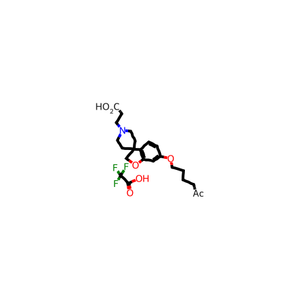 CC(=O)CCCCOc1ccc2c(c1)OCC21CCN(CCC(=O)O)CC1.O=C(O)C(F)(F)F